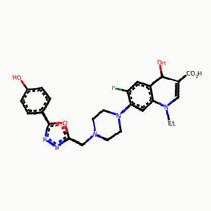 CCN1C=C(C(=O)O)C(O)c2cc(F)c(N3CCN(Cc4nnc(-c5ccc(O)cc5)o4)CC3)cc21